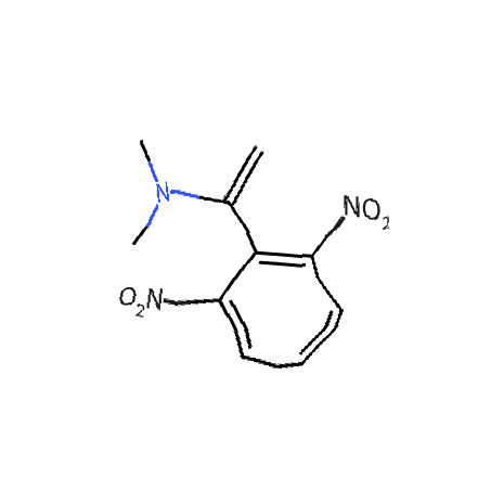 C=C(c1c([N+](=O)[O-])cccc1[N+](=O)[O-])N(C)C